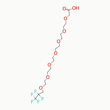 O=C(O)COCCOCCOCCOCCOCCOCCOCC(F)(F)C(F)(F)F